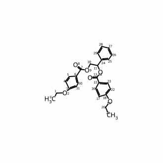 CCOc1ccc(C(=O)OCC(OC(=O)c2ccc(OCC)cc2)c2ccccc2)cc1